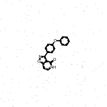 O=c1[nH]ccc2onc(-c3ccc(Oc4ccccc4)cc3)c12